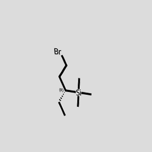 CC[C@H](CCBr)[Si](C)(C)C